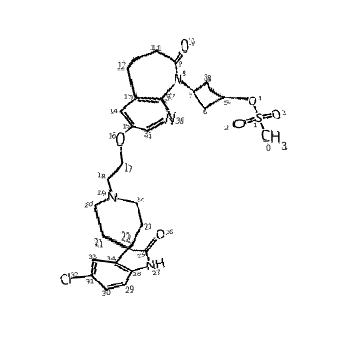 CS(=O)(=O)O[C@H]1C[C@@H](N2C(=O)CCc3cc(OCCN4CCC5(CC4)C(=O)Nc4ccc(Cl)cc45)cnc32)C1